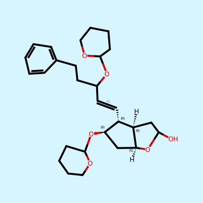 OC1C[C@@H]2[C@@H](/C=C/C(CCc3ccccc3)OC3CCCCO3)[C@H](OC3CCCCO3)C[C@@H]2O1